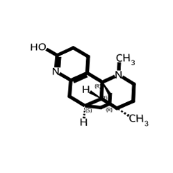 C[C@@H]1C[C@H]2CC3=C(CCC(O)=N3)[C@@]3(C1)[C@@H]2CCCN3C